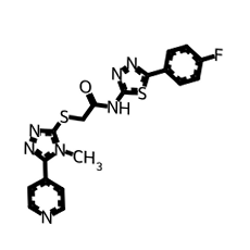 Cn1c(SCC(=O)Nc2nnc(-c3ccc(F)cc3)s2)nnc1-c1ccncc1